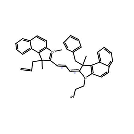 C=CCC1(C)C(/C=C/C=C2/N(CCC(C)C)c3ccc4ccccc4c3C2(C)Cc2ccccc2)=[N+](C)c2ccc3ccccc3c21